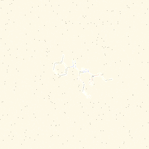 CCOC(=O)/N=C(/Nc1ccccc1C)SCC=O